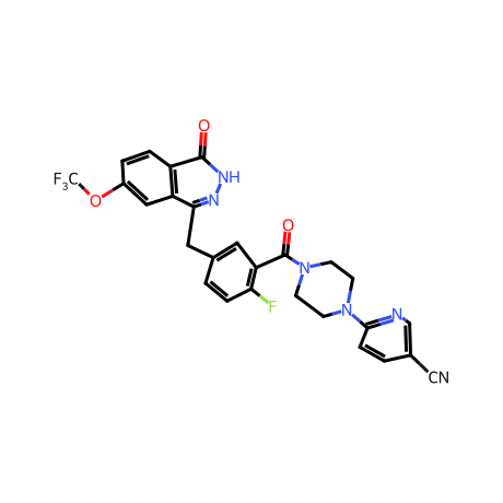 N#Cc1ccc(N2CCN(C(=O)c3cc(Cc4n[nH]c(=O)c5ccc(OC(F)(F)F)cc45)ccc3F)CC2)nc1